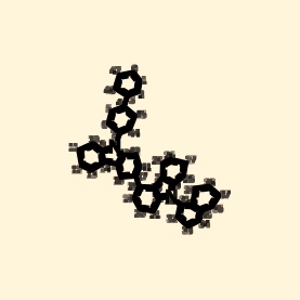 c1ccc(-c2ccc(-n3c4ccccc4c4cc(-c5cccc6c5c5ccccc5n6-c5cccc6ccccc56)ccc43)cc2)cc1